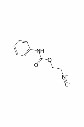 [C-]#[N+]CCOC(=O)Nc1ccccc1